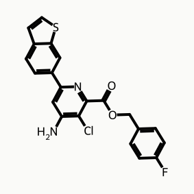 Nc1cc(-c2ccc3ccsc3c2)nc(C(=O)OCc2ccc(F)cc2)c1Cl